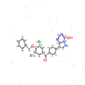 O=C(c1ccc(-c2cnn3c(O)ncnc23)cc1)c1cc(Br)c(OCc2ccccc2)c(Br)c1